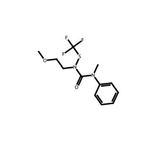 COCCN(SC(F)(F)F)C(=O)N(C)c1ccccc1